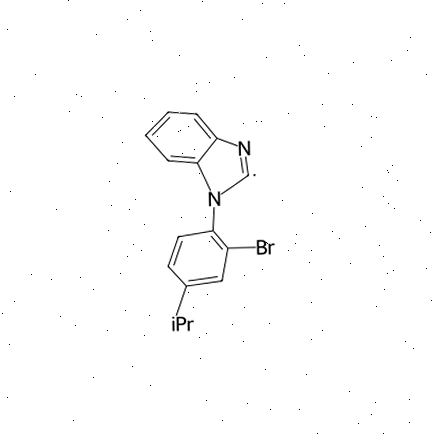 CC(C)c1ccc(-n2[c]nc3ccccc32)c(Br)c1